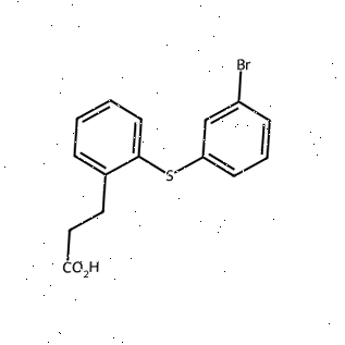 O=C(O)CCc1ccccc1Sc1cccc(Br)c1